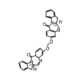 O=C1c2ccc(OCOC3=CC4N=C[C@@H]5Cc6ccccc6N5C(=O)C4C=C3)cc2N=C[C@@H]2Cc3ccccc3N12